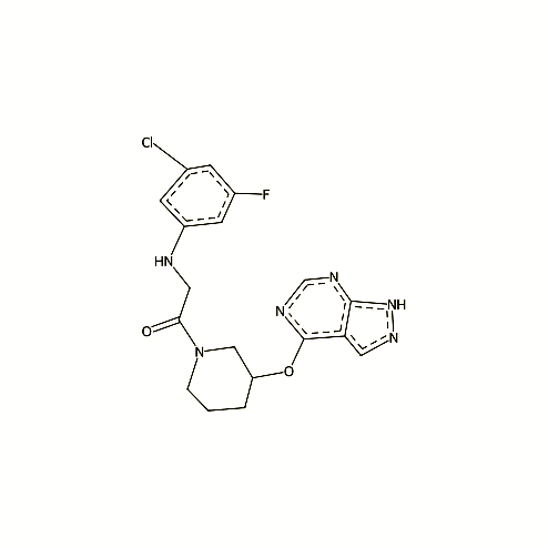 O=C(CNc1cc(F)cc(Cl)c1)N1CCCC(Oc2ncnc3[nH]ncc23)C1